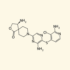 Nc1nc(N2CCC3(CC2)C(=O)OC[C@H]3N)cnc1Sc1ccnc(N)c1Cl